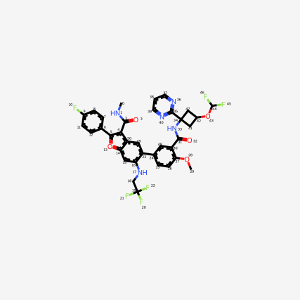 CNC(=O)c1c(-c2ccc(F)cc2)oc2cc(NCC(F)(F)F)c(-c3ccc(OC)c(C(=O)NC4(c5ncccn5)CC(OC(F)F)C4)c3)cc12